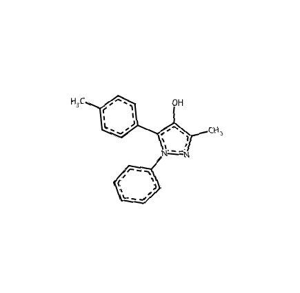 Cc1ccc(-c2c(O)c(C)nn2-c2ccccc2)cc1